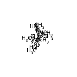 CCNC(=O)c1ccc(C(C)C)nc1CN(C)Cc1cc(C(C)C)nc(N2CC(NC)C2)c1